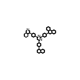 C1=Cc2cncc(-c3ccc(-c4cc(-c5ccc(-c6cccc7ccccc67)cc5)nc(-c5ccc(-c6cc7ccccc7c7ccccc67)cc5)n4)cc3)c2CC1